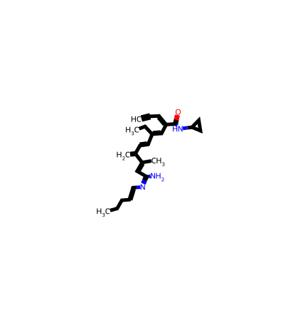 C#C\C=C(/C=C(/C=C/C(=C)/C(C)=C/C(N)=N\C=C\CCC)CC)C(=O)NC1CC1